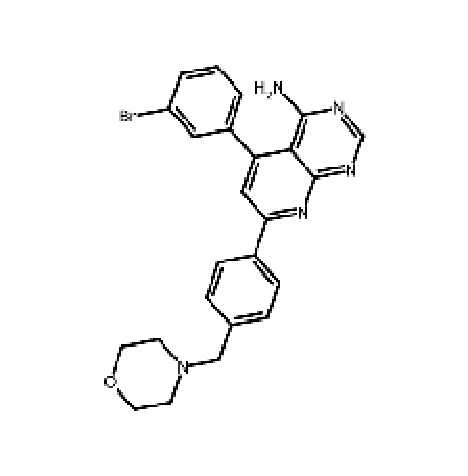 Nc1ncnc2nc(-c3ccc(CN4CCOCC4)cc3)cc(-c3cccc(Br)c3)c12